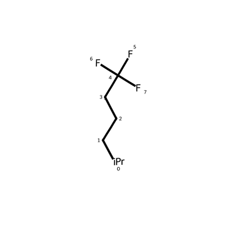 CC(C)CC[CH]C(F)(F)F